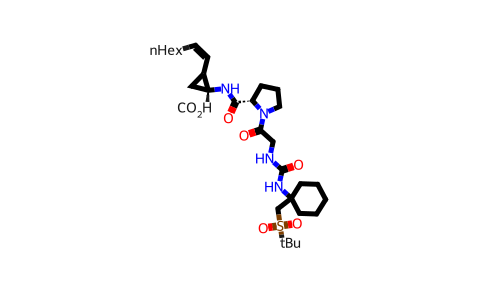 CCCCCC/C=C\C1C[C@]1(NC(=O)[C@@H]1CCCN1C(=O)CNC(=O)NC1(CS(=O)(=O)C(C)(C)C)CCCCC1)C(=O)O